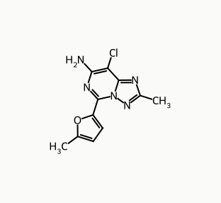 Cc1nc2c(Cl)c(N)nc(-c3ccc(C)o3)n2n1